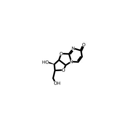 O=c1ccn2c(n1)OC1C2OC(CO)[C@H]1O